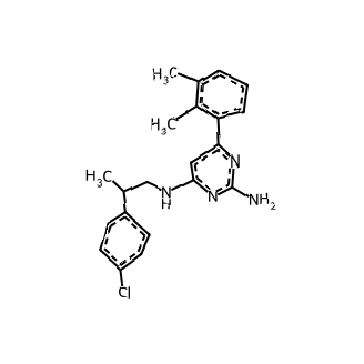 Cc1cccc(-c2cc(NCC(C)c3ccc(Cl)cc3)nc(N)n2)c1C